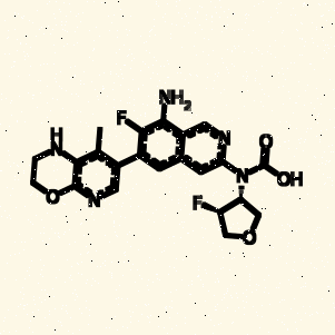 Cc1c(-c2cc3cc(N(C(=O)O)[C@@H]4COC[C@H]4F)ncc3c(N)c2F)cnc2c1NCCO2